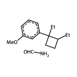 CCC1CCC1(CC)c1cccc(OC)c1.NC=O